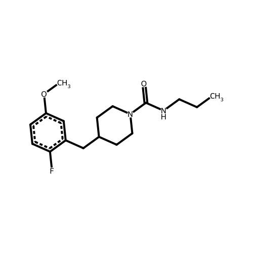 CCCNC(=O)N1CCC(Cc2cc(OC)ccc2F)CC1